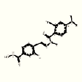 CN(/N=C/c1ccc(C(=O)NO)cc1F)C(=O)c1ccc(N(C)C)cc1F